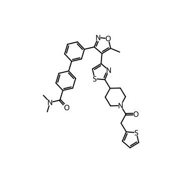 Cc1onc(-c2cccc(-c3ccc(C(=O)N(C)C)cc3)c2)c1-c1csc(C2CCN(C(=O)Cc3cccs3)CC2)n1